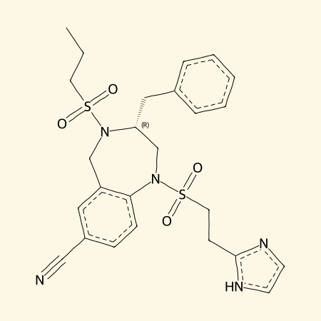 CCCS(=O)(=O)N1Cc2cc(C#N)ccc2N(S(=O)(=O)CCc2ncc[nH]2)C[C@H]1Cc1ccccc1